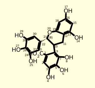 O=C(O)c1cc(O)c(O)c(O)c1C1Cc2c(O)cc(O)cc2O[C@H]1c1cc(O)c(O)c(O)c1